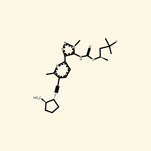 Cc1nc(-c2nnn(C)c2NC(=O)O[C@H](C)CC(C)(C)F)ccc1C#C[C@@H]1CCC[C@H]1C(=O)O